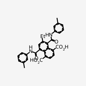 CCc1cc(C(=O)Nc2cccc(C)c2)c2c(C(=O)O)ccc(C(=O)O)c2c1C(=O)Nc1cccc(C)c1